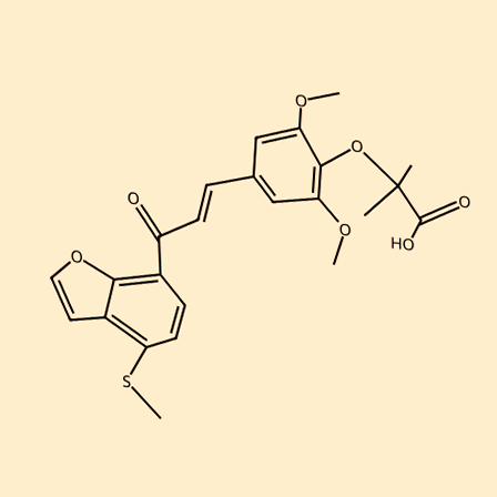 COc1cc(/C=C/C(=O)c2ccc(SC)c3ccoc23)cc(OC)c1OC(C)(C)C(=O)O